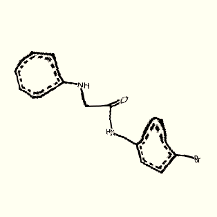 O=C(CNc1ccccc1)Nc1ccc(Br)cc1